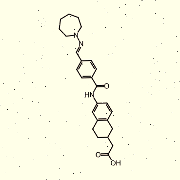 O=C(O)CC1CCc2cc(NC(=O)c3ccc(C=NN4CCCCCC4)cc3)ccc2C1